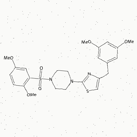 COc1cc(Cc2csc(N3CCN(S(=O)(=O)c4cc(OC)ccc4OC)CC3)n2)cc(OC)c1